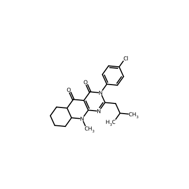 CC(C)Cc1nc2c(c(=O)n1-c1ccc(Cl)cc1)C(=O)C1CCCCC1N2C